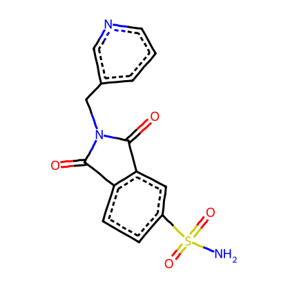 NS(=O)(=O)c1ccc2c(c1)C(=O)N(Cc1cccnc1)C2=O